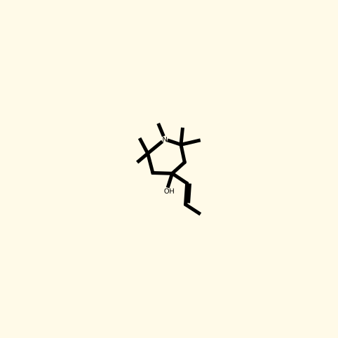 CC=CC1(O)CC(C)(C)N(C)C(C)(C)C1